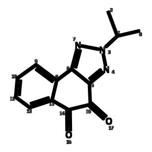 CC(C)n1nc2c(n1)-c1ccccc1C(=O)C2=O